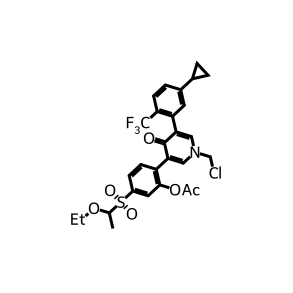 CCOC(C)S(=O)(=O)c1ccc(-c2cn(CCl)cc(-c3cc(C4CC4)ccc3C(F)(F)F)c2=O)c(OC(C)=O)c1